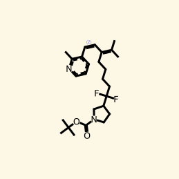 CC(C)=C(/C=C\c1cccnc1C)CCCCC(F)(F)C1CCN(C(=O)OC(C)(C)C)C1